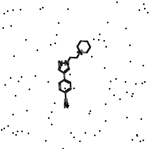 N#Cc1ccc(-c2cnn(CCN3CCCCC3)c2)cc1